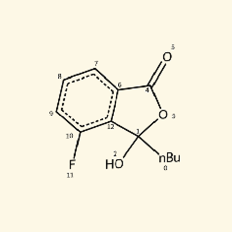 CCCCC1(O)OC(=O)c2cccc(F)c21